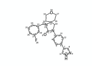 O=C1N(c2ccc(-c3cn[nH]c3)cc2)CC2(CCOCC2)N1Cc1cccc(F)c1